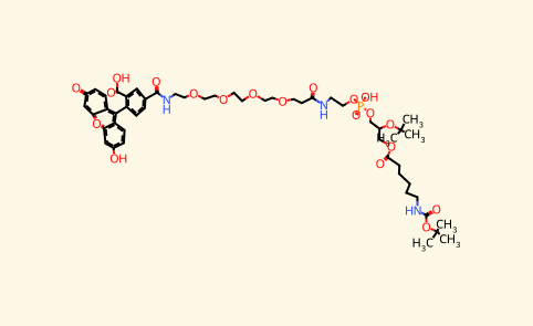 CC(C)(C)OC(=O)NCCCCCC(=O)OCC(COP(=O)(O)OCCNC(=O)CCOCCOCCOCCOCCNC(=O)c1ccc(-c2c3ccc(=O)cc-3oc3cc(O)ccc23)c(C(=O)O)c1)OC(C)(C)C